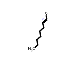 CCCCCC/C=C/[S]